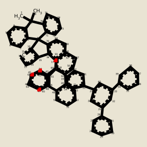 CC1(C)c2ccccc2C2(c3ccccc3-c3c(N(c4ccc(-c5cc(-c6ccccc6)cc(-c6ccccc6)c5)cc4)c4ccccc4-c4ccccc4-c4ccccc4-c4ccccc4)cccc32)c2ccccc21